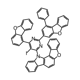 Ic1c(-c2cccc3oc4ccccc4c23)nc(-c2cc(-c3ccccc3)c3c(c2)oc2ccccc23)nc1-n1c2ccccc2c2ccc3oc4ccccc4c3c21